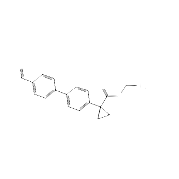 CCOC(=O)C1(c2ccc(-c3ccc(C=O)cc3)cc2)CC1